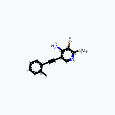 COc1ncc(C#Cc2ccccc2C)c(N)c1Br